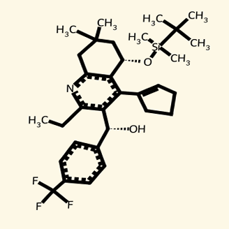 CCc1nc2c(c(C3=CCCC3)c1[C@H](O)c1ccc(C(F)(F)F)cc1)[C@@H](O[Si](C)(C)C(C)(C)C)CC(C)(C)C2